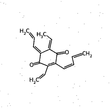 C=C/C=C\C1=C(C=C)C(=O)C(=C/C=C)/C(=C\C)C1=O